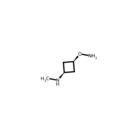 CN[C@H]1C[C@@H](ON)C1